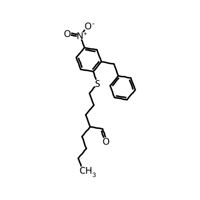 CCCCC(C=O)CCCSc1ccc([N+](=O)[O-])cc1Cc1ccccc1